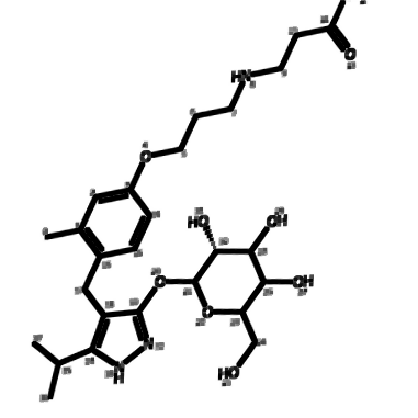 Cc1cc(OCCCNCCC(N)=O)ccc1Cc1c(OC2OC(CO)C(O)C(O)[C@H]2O)n[nH]c1C(C)C